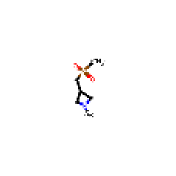 [CH2]S(=O)(=O)CC1CN(C(C)=O)C1